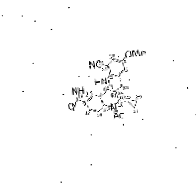 COc1ccc(N[C@H]2c3cc(C(N)=O)ccc3N(C(C)=O)[C@@H](C3CC3)[C@@H]2C)c(C#N)c1